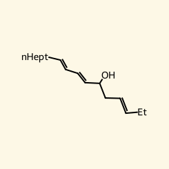 CCC=CCC(O)C=CC=CCCCCCCC